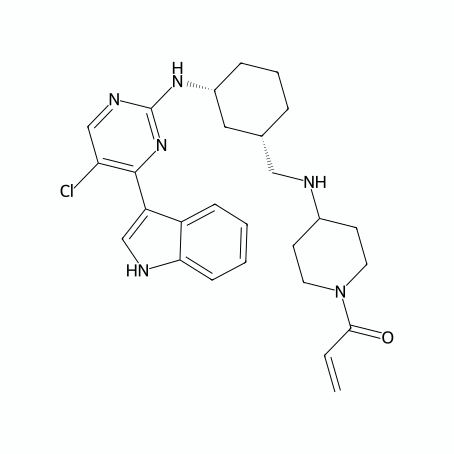 C=CC(=O)N1CCC(NC[C@H]2CCC[C@@H](Nc3ncc(Cl)c(-c4c[nH]c5ccccc45)n3)C2)CC1